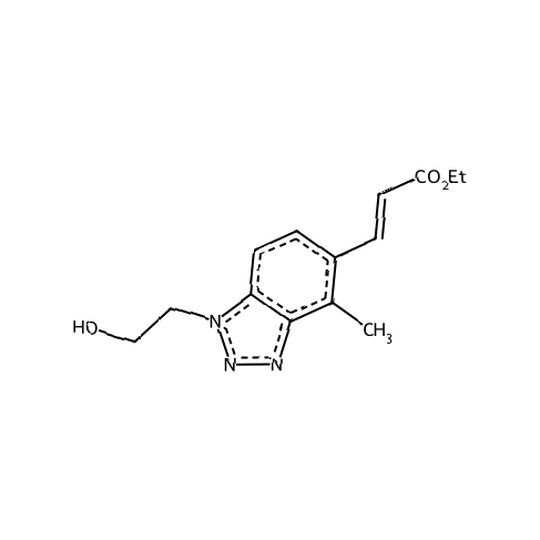 CCOC(=O)/C=C/c1ccc2c(nnn2CCO)c1C